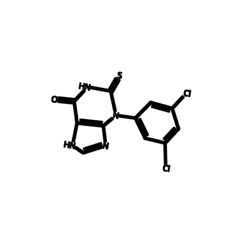 O=c1[nH]c(=S)n(-c2cc(Cl)cc(Cl)c2)c2nc[nH]c12